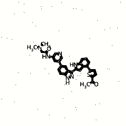 CC(=O)c1ccc(-c2cccc3[nH]c(-c4n[nH]c5ccc(-c6cncc(NC(=O)CN(C)C)c6)cc45)cc23)s1